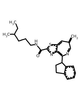 C=C1C=NC(C2CCc3ccccc32)=c2nc(C(=O)NCCCC(C)CC)sc2=C1